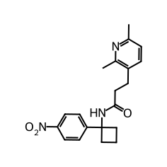 Cc1ccc(CCC(=O)NC2(c3ccc([N+](=O)[O-])cc3)CCC2)c(C)n1